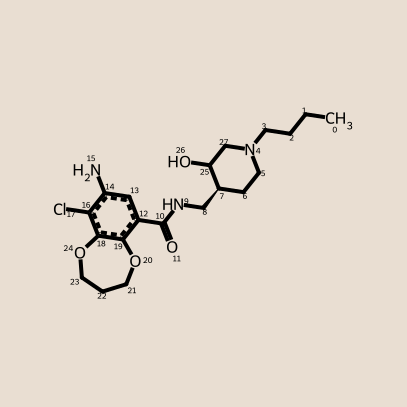 CCCCN1CC[C@@H](CNC(=O)c2cc(N)c(Cl)c3c2OCCCO3)C(O)C1